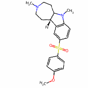 COc1ccc(S(=O)(=O)c2ccc3c(c2)[C@@H]2CCN(C)CCC2N3C)cc1